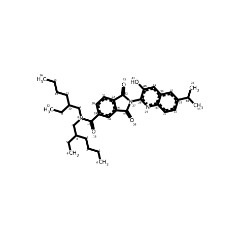 CCCCC(CC)CN(CC(CC)CCCC)C(=O)c1ccc2c(c1)C(=O)N(c1nc3ccc(C(C)C)cc3cc1O)C2=O